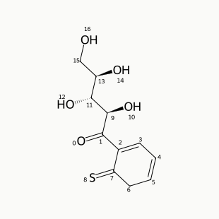 O=C(C1=CC=CCC1=S)[C@H](O)[C@H](O)[C@H](O)CO